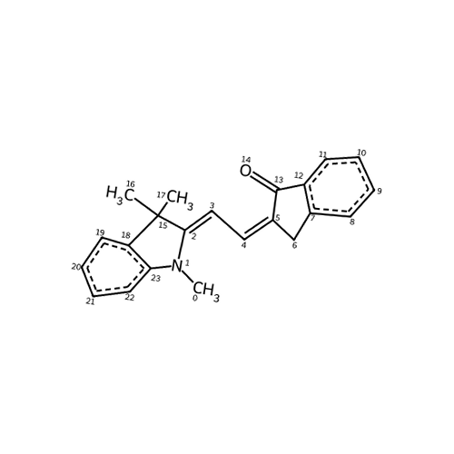 CN1C(=CC=C2Cc3ccccc3C2=O)C(C)(C)c2ccccc21